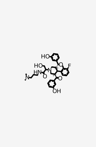 Cc1c(F)cccc1C1[C@@H](C(=O)c2cccc(O)c2)CN(C(CO)C(=O)NCCCN(C)C)C[C@@H]1C(=O)c1cccc(O)c1